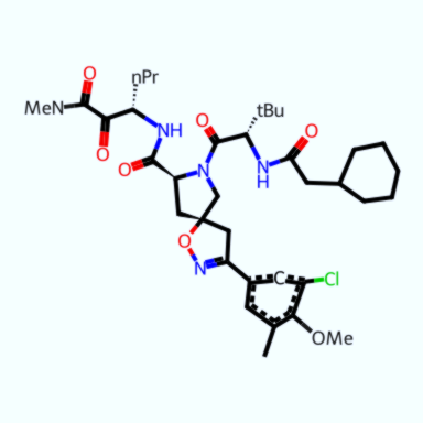 CCC[C@H](NC(=O)[C@@H]1C[C@]2(CC(c3cc(C)c(OC)c(Cl)c3)=NO2)CN1C(=O)[C@@H](NC(=O)CC1CCCCC1)C(C)(C)C)C(=O)C(=O)NC